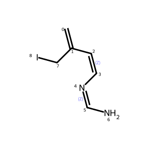 C=C(/C=C\N=C/N)CI